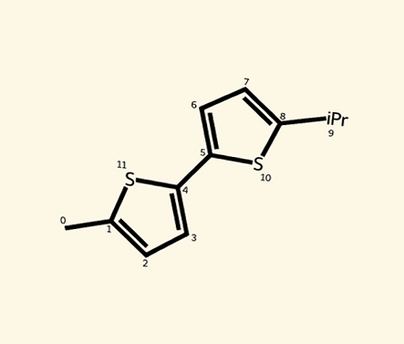 Cc1ccc(-c2ccc(C(C)C)s2)s1